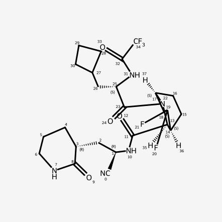 N#C[C@@H](C[C@H]1CCCNC1=O)NC(=O)[C@@H]1[C@@H]2CC[C@@H](CC2(F)F)N1C(=O)[C@H](CC1CCC1)NC(=O)C(F)(F)F